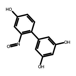 O=Nc1cc(O)ccc1-c1cc(O)cc(O)c1